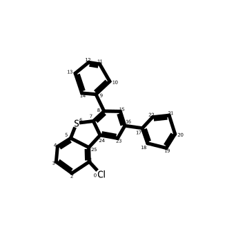 Clc1cccc2sc3c(-c4ccccc4)cc(-c4ccccc4)cc3c12